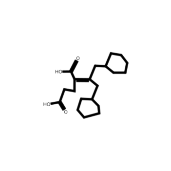 O=C(O)CCC(C(=O)O)=C(CC1CCCCC1)CC1CCCCC1